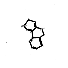 C1=C2NCc3ccccc3C2=CNC1